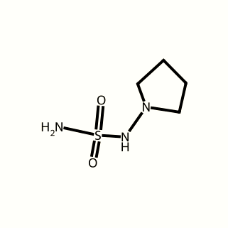 NS(=O)(=O)NN1CCCC1